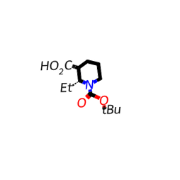 CC[C@@H]1C(C(=O)O)CCCN1C(=O)OC(C)(C)C